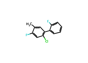 Cc1cc(-c2ccccc2F)c(Cl)cc1F